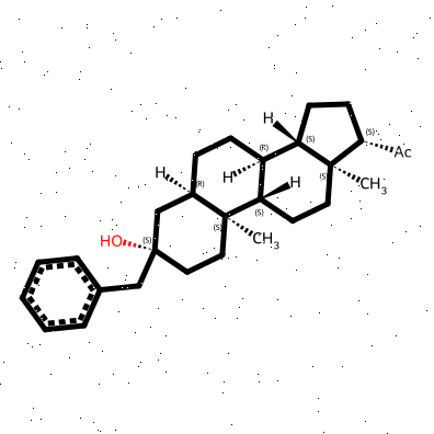 CC(=O)[C@H]1CC[C@H]2[C@@H]3CC[C@@H]4C[C@](O)(Cc5ccccc5)CC[C@]4(C)[C@H]3CC[C@]12C